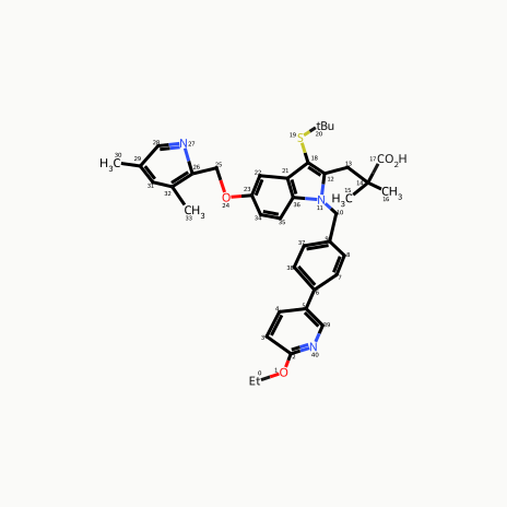 CCOc1ccc(-c2ccc(Cn3c(CC(C)(C)C(=O)O)c(SC(C)(C)C)c4cc(OCc5ncc(C)cc5C)ccc43)cc2)cn1